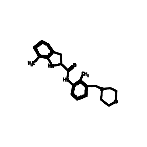 Cc1cccc2c1NC(C(=O)Nc1cccc(CN3CCOCC3)c1C)C2